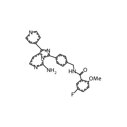 COc1ccc(F)cc1C(=O)NCc1ccc(-c2nc(-c3ccncc3)c3ccnc(N)n23)cc1